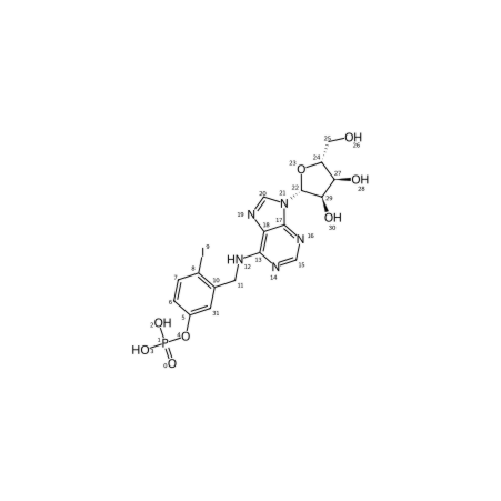 O=P(O)(O)Oc1ccc(I)c(CNc2ncnc3c2ncn3[C@@H]2O[C@H](CO)[C@@H](O)[C@H]2O)c1